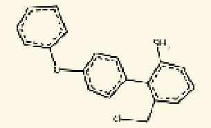 [SiH3]c1cccc(CCl)c1-c1ccc(Oc2ccccc2)cc1